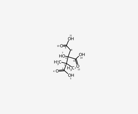 CC(C)(C(=O)O)C(O)(CC(=O)O)C(=O)O